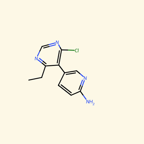 CCc1ncnc(Cl)c1-c1ccc(N)nc1